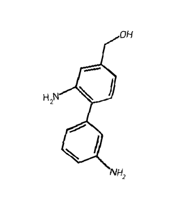 Nc1cccc(-c2ccc(CO)cc2N)c1